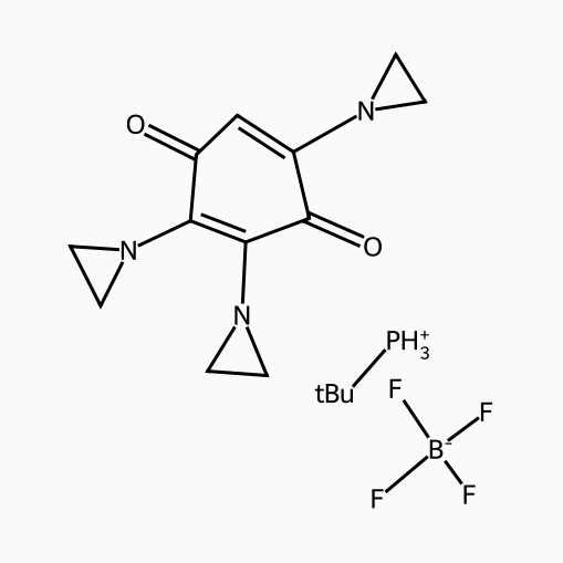 CC(C)(C)[PH3+].F[B-](F)(F)F.O=C1C=C(N2CC2)C(=O)C(N2CC2)=C1N1CC1